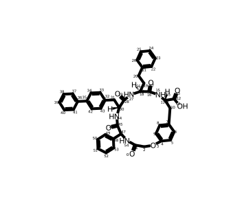 O=C1COc2ccc(cc2)C[C@@H](C(=O)O)NC(=O)[C@H](CCc2ccccc2)NC(=O)[C@@H](Cc2ccc(-c3ccccc3)cc2)NC(=O)C(c2ccccc2)N1